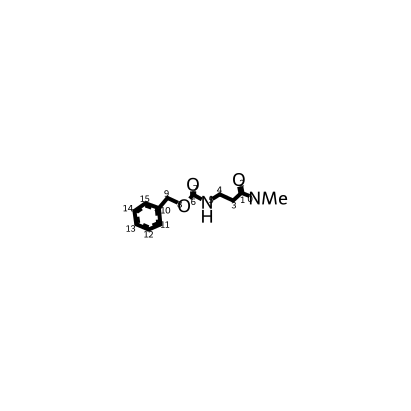 CNC(=O)CCNC(=O)OCc1ccccc1